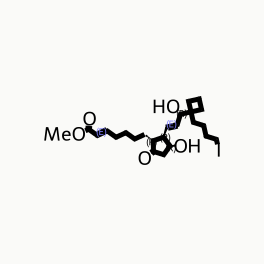 COC(=O)/C=C/CCCC[C@H]1C(=O)C[C@@H](O)[C@@H]1/C=C/[C@@H](O)C1(CCCCI)CCC1